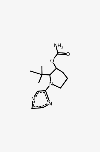 CC(C)(C)C1C(OC(N)=O)CCCN1c1cnccn1